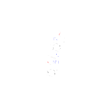 O=C1CCc2cc(NC(=S)NC(=O)c3ccccc3)ccc2N1